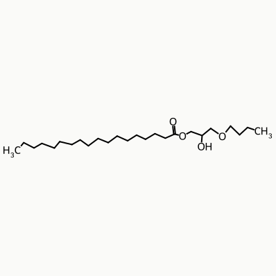 CCCCCCCCCCCCCCCCCC(=O)OCC(O)COCCCC